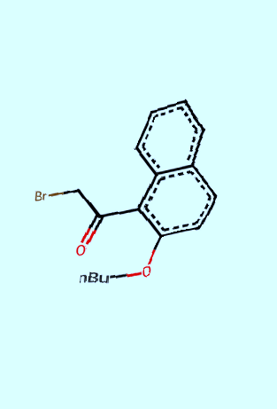 CCCCOc1ccc2ccccc2c1C(=O)CBr